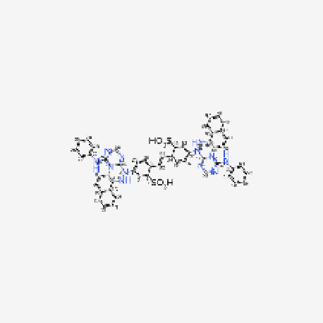 O=S(=O)(O)c1cc(N(Nc2cccc3ccccc23)c2ncnc(Nc3ccccc3)n2)ccc1C=Cc1ccc(N(Nc2cccc3ccccc23)c2ncnc(Nc3ccccc3)n2)cc1S(=O)(=O)O